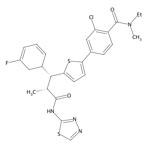 CCN(C)C(=O)c1ccc(-c2ccc([C@@H](C3C=CC=C(F)C3)[C@@H](C)C(=O)Nc3nncs3)s2)cc1Cl